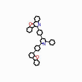 c1ccc(-c2cc(-c3ccc(-c4nc5ccccc5c5oc6ccccc6c45)cc3)cc(-c3ccc(-c4cccc5c4oc4ccccc45)cc3)n2)cc1